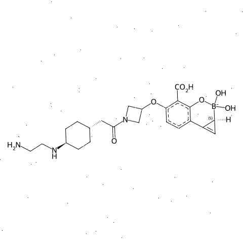 NCCN[C@H]1CC[C@H](CC(=O)N2CC(Oc3ccc4c(c3C(=O)O)O[B-](O)(O)[C@H]3C=C43)C2)CC1